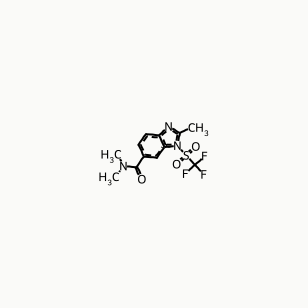 Cc1nc2ccc(C(=O)N(C)C)cc2n1S(=O)(=O)C(F)(F)F